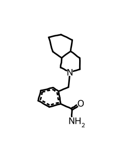 NC(=O)c1ccccc1CN1CCC2CCCCC2C1